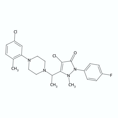 Cc1ccc(Cl)cc1N1CCN(C(C)c2c(Cl)c(=O)n(-c3ccc(F)cc3)n2C)CC1